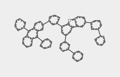 c1ccc(-c2cccc(-c3ccc4oc5c(-c6cccc(-c7ccc8c(-c9ccccc9)c9ccccc9c(-c9ccccc9)c8c7)c6)cc(-c6cccc(-c7ccccc7)c6)cc5c4c3)c2)cc1